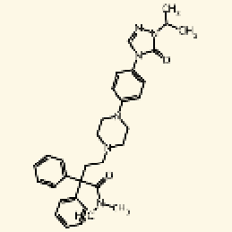 CC(C)n1ncn(-c2ccc(N3CCN(CCC(C(=O)N(C)C)(c4ccccc4)c4ccccc4)CC3)cc2)c1=O